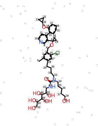 Cc1cc(COC2(c3cnccc3-c3ccccc3OC3CC3)CC2)c(Cl)cc1CCCCN(CCCCCO)C(=O)NCC(O)C(O)C(O)C(O)CO